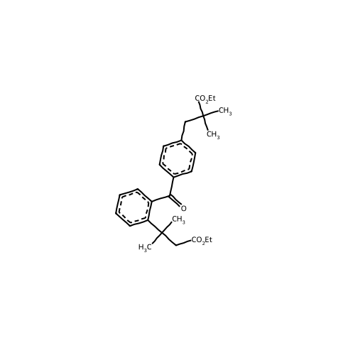 CCOC(=O)CC(C)(C)c1ccccc1C(=O)c1ccc(CC(C)(C)C(=O)OCC)cc1